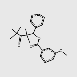 COc1cccc(C(=O)OC(c2ccccc2)C(C)(C)C(=O)C(C)(C)C)c1